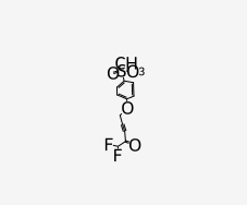 CS(=O)(=O)c1ccc(OCC#CC(=O)C(F)F)cc1